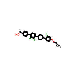 C=CCOc1ccc(C2CCC(c3ccc(-c4ccc(C(C)O)cc4)c(F)c3F)CC2)c(F)c1